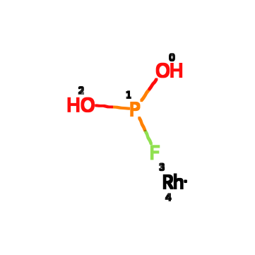 OP(O)F.[Rh]